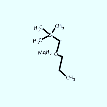 CCCO[CH][Si](C)(C)C.[MgH2]